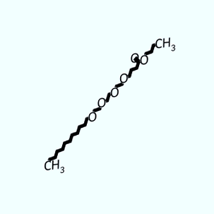 CCCCCCCCCCCCOCCOCCOCCOCCCC(=O)OCCCC